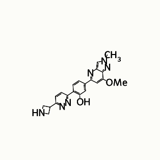 COc1cc(-c2ccc(-c3ccc(C4CNC4)nn3)c(O)c2)nc2cn(C)nc12